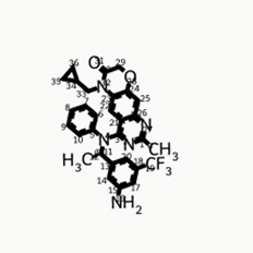 Cc1nc(N(c2ccccc2)[C@H](C)c2cc(N)cc(C(F)(F)F)c2)c2cc3c(cc2n1)OCC(=O)N3CC1CC1